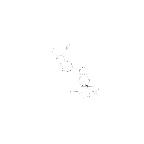 CC(C)n1nc2ccc(-c3n[nH]c4nc(N5[C@H]6CC[C@@H]5[C@@H](F)[C@@H](N)C6)c(CO)nc34)c(Cl)c2c1C#N